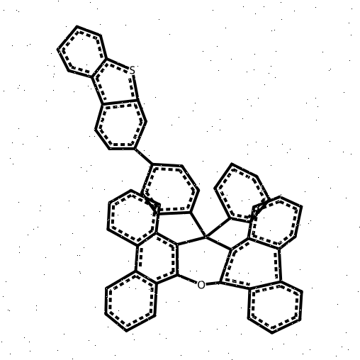 c1ccc(C2(c3ccc(-c4ccc5c(c4)sc4ccccc45)cc3)c3c(c4ccccc4c4ccccc34)Oc3c2c2ccccc2c2ccccc32)cc1